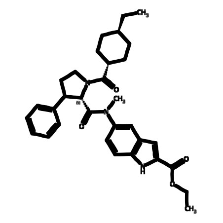 CCOC(=O)c1cc2cc(N(C)C(=O)[C@@H]3C(c4ccccc4)CCN3C(=O)[C@H]3CC[C@H](CC)CC3)ccc2[nH]1